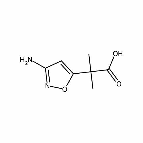 CC(C)(C(=O)O)c1cc(N)no1